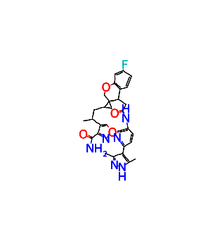 Cc1n[nH]c(C)c1-c1ccc(NC(=O)CC2c3ccc(F)cc3OCC23CC3CC(C)c2conc2C(N)=O)cn1